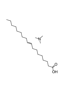 CCCCCCCCC=CCCCCCCCC(=O)O.CN(C)C